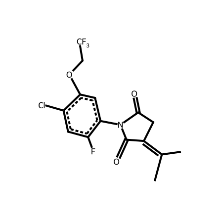 CC(C)=C1CC(=O)N(c2cc(OCC(F)(F)F)c(Cl)cc2F)C1=O